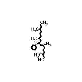 CC/C=C(\C)CC/C=C(\C)CC(/C=C(\C)CC/C=C(\C)CO)Sc1ccccc1